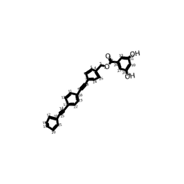 O=C(OCc1ccc(C#Cc2ccc(C#Cc3ccccc3)cc2)cc1)c1cc(O)cc(O)c1